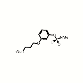 CCCCCCCCCCCCOc1cccc(OS(=O)(=O)NC)c1